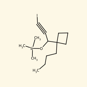 CCCCC1(C(C#CI)O[Si](C)(C)C)CCC1